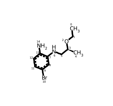 CCO[C@@H](C)CNc1cc(Br)ccc1N